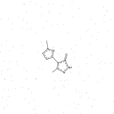 Cc1n[nH]c(=O)n1-c1ccn(C)n1